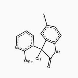 COc1ncccc1C1(O)C(=O)Nc2ccc(I)cc21